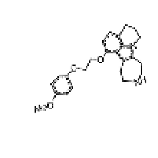 COc1ccc(OCCOc2ccc3c4c2c2c(n4CCC3)CCNCC2)cc1